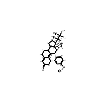 CSc1ccc([C@H]2C[C@@]3(C)C(CC[C@@]3(O)C(F)(F)C(F)(F)F)C3CCC4=CC(=O)CCC4=C32)cc1